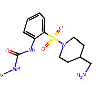 CCCCCCNC(=O)Nc1ccccc1S(=O)(=O)N1CCC(CN)CC1